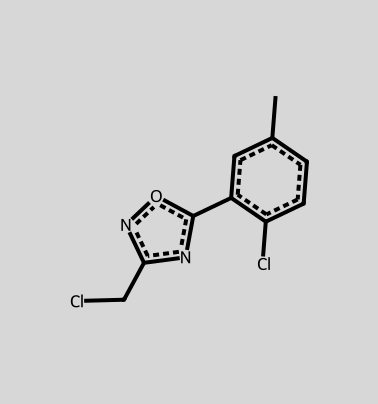 Cc1ccc(Cl)c(-c2nc(CCl)no2)c1